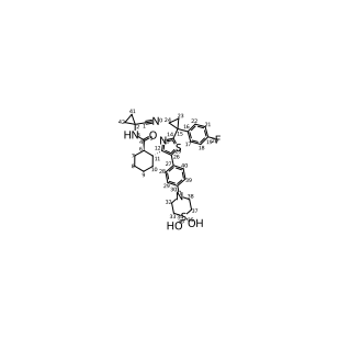 N#CC1(NC(=O)[C@@H]2CCCC[C@H]2c2nc(C3(c4ccc(F)cc4)CC3)sc2-c2ccc(N3CCS(O)(O)CC3)cc2)CC1